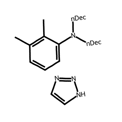 CCCCCCCCCCN(CCCCCCCCCC)c1cccc(C)c1C.c1c[nH]nn1